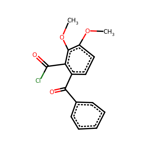 COc1ccc(C(=O)c2ccccc2)c(C(=O)Cl)c1OC